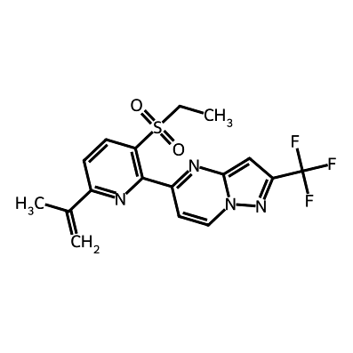 C=C(C)c1ccc(S(=O)(=O)CC)c(-c2ccn3nc(C(F)(F)F)cc3n2)n1